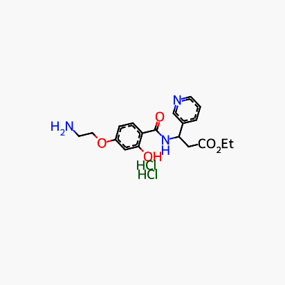 CCOC(=O)CC(NC(=O)c1ccc(OCCN)cc1O)c1cccnc1.Cl.Cl